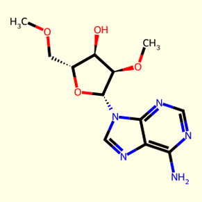 COC[C@H]1O[C@@H](n2cnc3c(N)ncnc32)[C@H](OC)[C@@H]1O